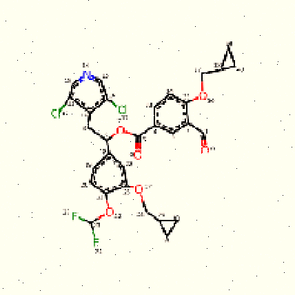 O=Cc1cc(C(=O)OC(Cc2c(Cl)cncc2Cl)c2ccc(OC(F)F)c(OCC3CC3)c2)ccc1OCC1CC1